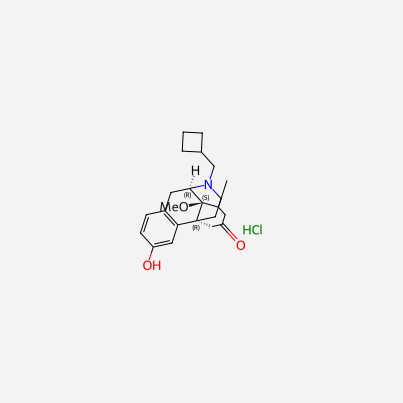 CO[C@@]12C(C)CC(=O)C[C@@]13CCN(CC1CCC1)[C@@H]2Cc1ccc(O)cc13.Cl